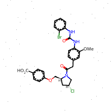 COc1cc(CC(=O)N2C[C@H](Cl)C[C@H]2COc2ccc(C(=O)O)cc2)ccc1NC(=O)Nc1ccccc1Br